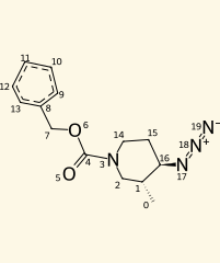 C[C@@H]1CN(C(=O)OCc2ccccc2)CC[C@H]1N=[N+]=[N-]